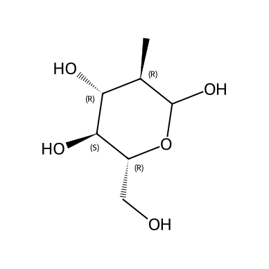 C[C@H]1C(O)O[C@H](CO)[C@@H](O)[C@@H]1O